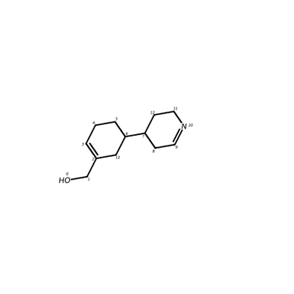 OCC1=CCCC(C2CC=NCC2)C1